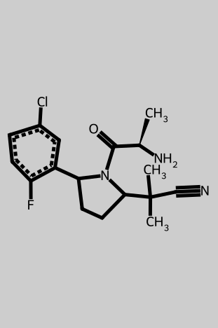 C[C@@H](N)C(=O)N1C(c2cc(Cl)ccc2F)CCC1C(C)(C)C#N